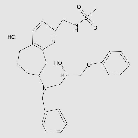 CS(=O)(=O)NCc1ccc2c(c1)CC(N(Cc1ccccc1)C[C@H](O)COc1ccccc1)CCC2.Cl